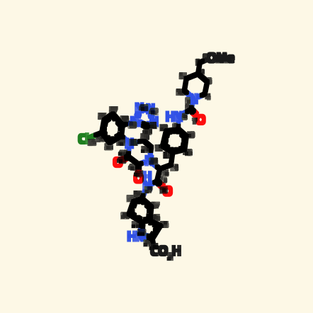 COCC1CCN(C(=O)Nc2ccc(CC(C(=O)Nc3ccc4[nH]c(C(=O)O)cc4c3)N3CCN(c4cc(Cl)ccc4-n4cnnn4)C(=O)C3=O)cc2)CC1